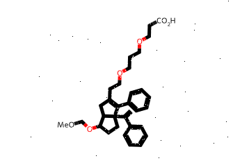 C=C(c1ccccc1)C12CCC(OCOC)C1CC(CCOCCCOCCC(=O)O)=C2c1ccccc1